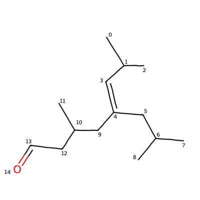 CC(C)C=C(CC(C)C)CC(C)CC=O